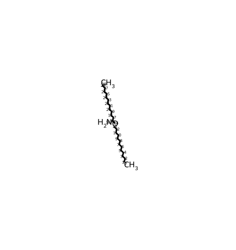 CCCCCCCCCCCCCCOC(N)CCCCCCCCCCCCC